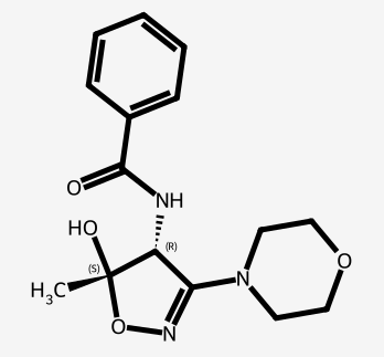 C[C@]1(O)ON=C(N2CCOCC2)[C@H]1NC(=O)c1ccccc1